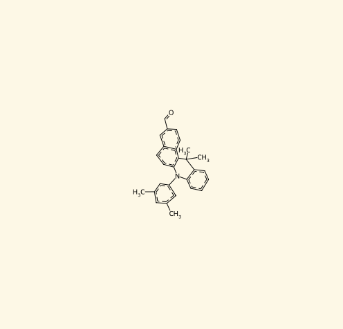 Cc1cc(C)cc(N2c3ccccc3C(C)(C)c3c2ccc2cc(C=O)ccc32)c1